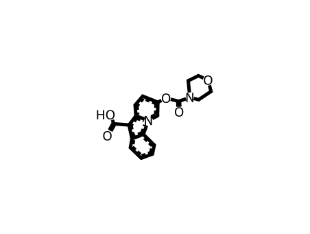 O=C(O)c1c2ccccc2n2cc(OC(=O)N3CCOCC3)ccc12